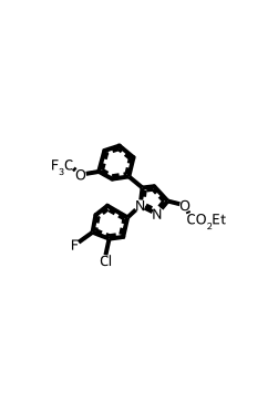 CCOC(=O)Oc1cc(-c2cccc(OC(F)(F)F)c2)n(-c2ccc(F)c(Cl)c2)n1